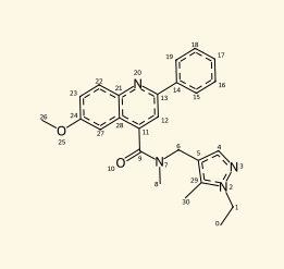 CCn1ncc(CN(C)C(=O)c2cc(-c3ccccc3)nc3ccc(OC)cc23)c1C